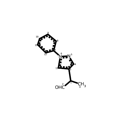 CC(C=O)c1cnn(-c2ccccc2)c1